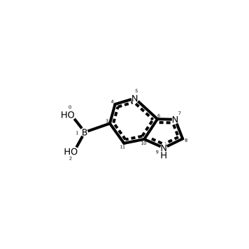 OB(O)c1cnc2nc[nH]c2c1